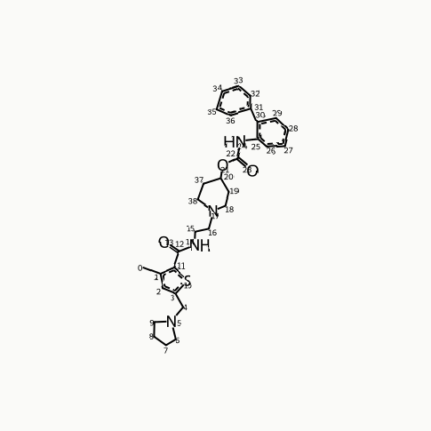 Cc1cc(CN2CCCC2)sc1C(=O)NCCN1CCC(OC(=O)Nc2ccccc2-c2ccccc2)CC1